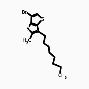 CCCCCCCCc1c(C)sc2c(Br)csc12